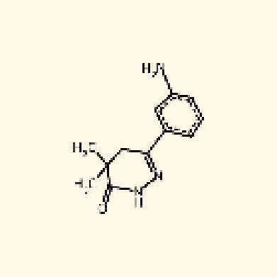 CC1(C)CC(c2cccc(N)c2)=NNC1=O